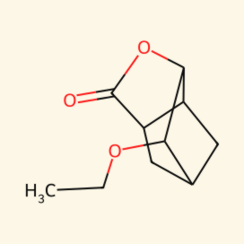 CCOC1C2CC3C(=O)OC1C3C2